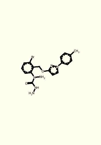 Cc1ccc(-n2ccc(OCc3c(Br)cccc3N(N)C(=O)NN)n2)cc1